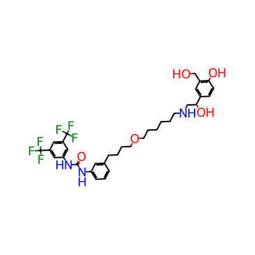 O=C(Nc1cccc(CCCCOCCCCCCNC[C@H](O)c2ccc(O)c(CO)c2)c1)Nc1cc(C(F)(F)F)cc(C(F)(F)F)c1